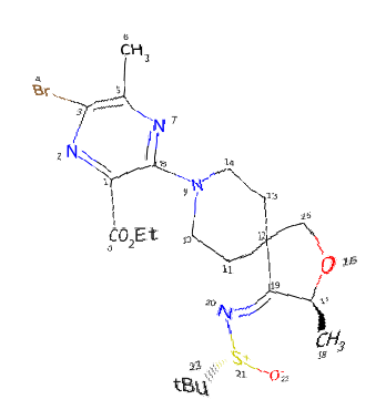 CCOC(=O)c1nc(Br)c(C)nc1N1CCC2(CC1)CO[C@@H](C)/C2=N\[S@+]([O-])C(C)(C)C